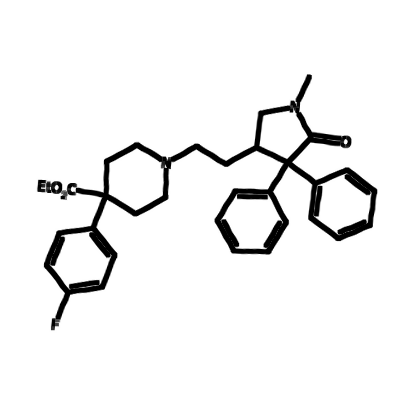 CCOC(=O)C1(c2ccc(F)cc2)CCN(CCC2CN(C)C(=O)C2(c2ccccc2)c2ccccc2)CC1